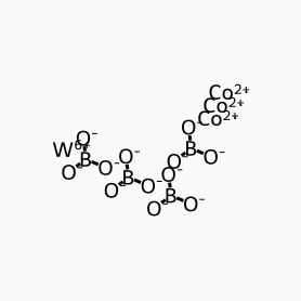 [Co+2].[Co+2].[Co+2].[O-]B([O-])[O-].[O-]B([O-])[O-].[O-]B([O-])[O-].[O-]B([O-])[O-].[W+6]